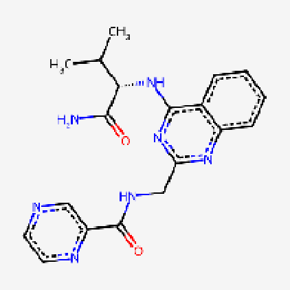 CC(C)[C@H](Nc1nc(CNC(=O)c2cnccn2)nc2ccccc12)C(N)=O